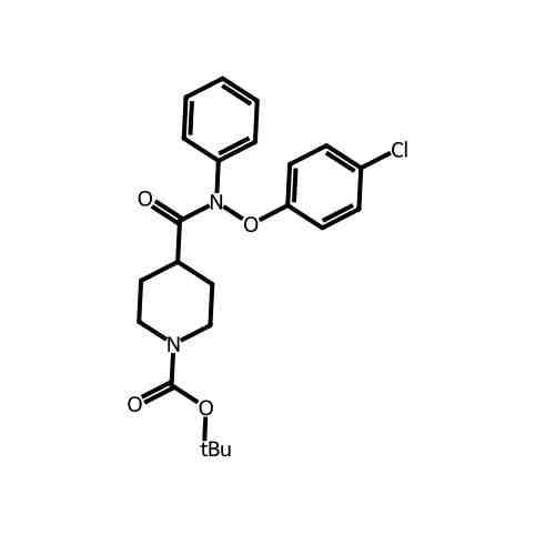 CC(C)(C)OC(=O)N1CCC(C(=O)N(Oc2ccc(Cl)cc2)c2ccccc2)CC1